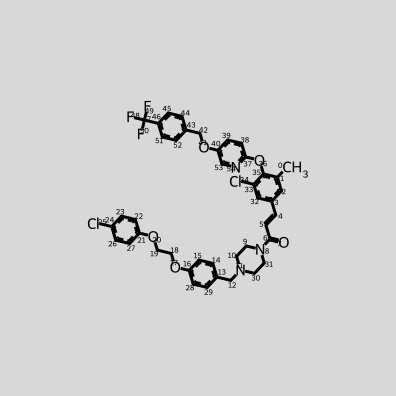 Cc1cc(/C=C/C(=O)N2CCN(Cc3ccc(OCCOc4ccc(Cl)cc4)cc3)CC2)cc(Cl)c1Oc1ccc(OCc2ccc(C(F)(F)F)cc2)cn1